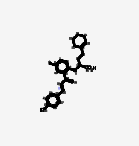 Cc1ccc(OC(CCC2=CCCCC2)C(=O)O)c(C(=O)/C=C/c2ccc(Cl)cc2)c1